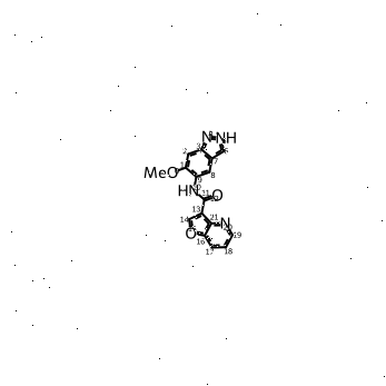 COc1cc2n[nH]cc2cc1NC(=O)c1coc2cccnc12